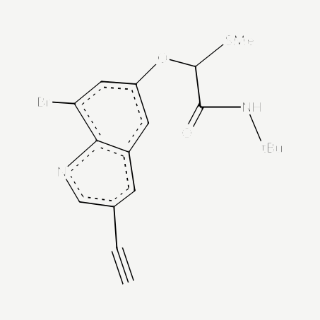 C#Cc1cnc2c(Br)cc(OC(SC)C(=O)NC(C)(C)C)cc2c1